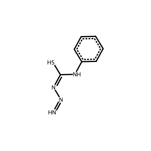 N=N/N=C(/S)Nc1ccccc1